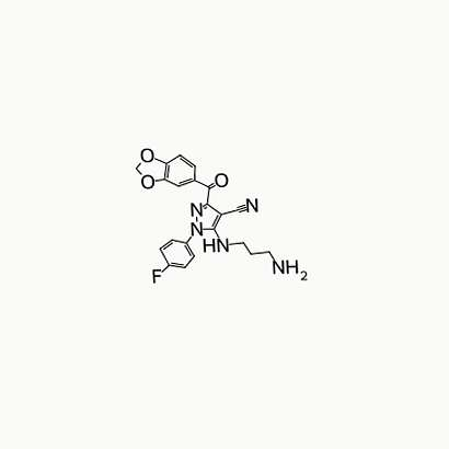 N#Cc1c(C(=O)c2ccc3c(c2)OCO3)nn(-c2ccc(F)cc2)c1NCCCN